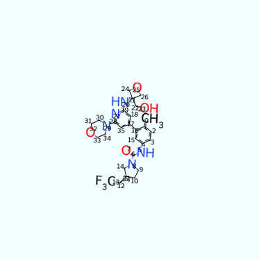 Cc1ccc(NC(=O)N2CC[C@@H](CC(F)(F)F)C2)cc1-c1cc(NC2(CO)COC2)nc(N2CCOCC2)c1